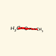 CCCCCCCCCCCCCCCCCCCCC[CH]OCCCCCCCCCCCCCC